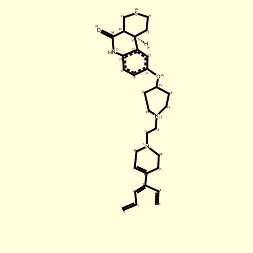 C=C/C=C(\C=C)C1=CCN(CCN2CCC(Oc3ccc4c(c3)[C@@H]3CCSCC3C(=O)N4)CC2)CC1